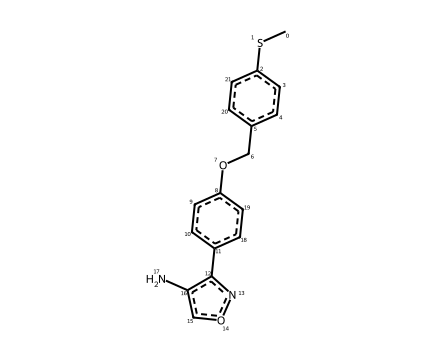 CSc1ccc(COc2ccc(-c3nocc3N)cc2)cc1